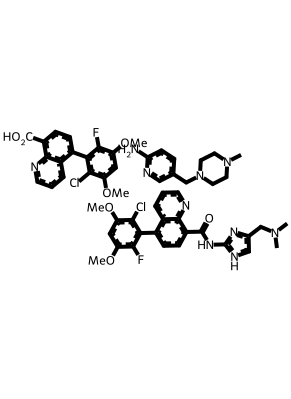 CN1CCN(Cc2ccc(N)nc2)CC1.COc1cc(OC)c(Cl)c(-c2ccc(C(=O)Nc3nc(CN(C)C)c[nH]3)c3ncccc23)c1F.COc1cc(OC)c(Cl)c(-c2ccc(C(=O)O)c3ncccc23)c1F